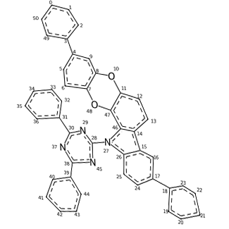 c1ccc(-c2ccc3c(c2)Oc2ccc4c5cc(-c6ccccc6)ccc5n(-c5nc(-c6ccccc6)nc(-c6ccccc6)n5)c4c2O3)cc1